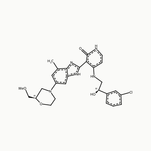 COC[C@H]1CN(c2cc(C)c3nc(-c4c(NC[C@H](O)c5cccc(Cl)c5)cc[nH]c4=O)[nH]c3c2)CCO1